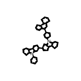 c1ccc(-n2c3ccccc3c3ccc(-c4ccc5c6ccccc6n(-c6ccc(-c7cc8ccccc8c8ccccc78)cc6)c5c4)cc32)cc1